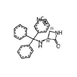 C#C[C@@H]1NC(=O)[C@H]1NC(c1ccccc1)(c1ccccc1)c1ccccc1